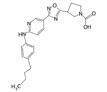 CCCCc1ccc(Nc2ccc(-c3noc(C4CCN(C(=O)O)C4)n3)cn2)cc1